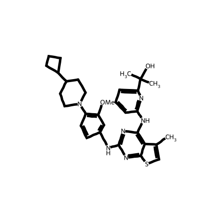 COc1cc(Nc2nc(Nc3cccc(C(C)(C)O)n3)c3c(C)csc3n2)ccc1N1CCC(C2CCC2)CC1